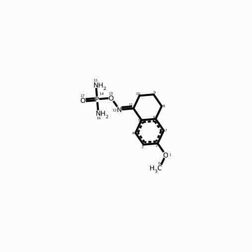 COc1ccc2c(c1)CCCC2=NOP(N)(N)=O